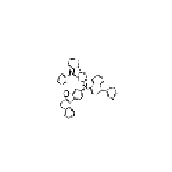 c1ccc(-c2ccc(N(c3ccc4c(c3)oc3ccc5ccccc5c34)c3ccc4c5ccccc5n(-c5ccccc5)c4c3)c3ccccc23)cc1